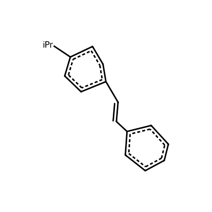 CC(C)c1ccc(C=Cc2ccccc2)cc1